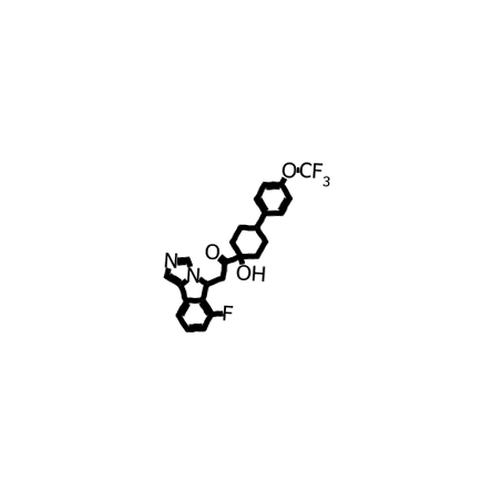 O=C(CC1c2c(F)cccc2-c2cncn21)C1(O)CCC(c2ccc(OC(F)(F)F)cc2)CC1